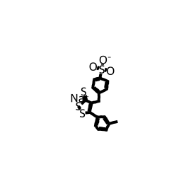 Cc1cccc(-c2ssc(=S)c2Cc2ccc(S(=O)(=O)[O-])cc2)c1.[Na+]